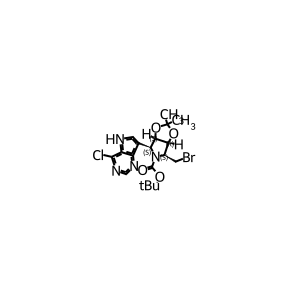 CC(C)(C)OC(=O)N1[C@H](CBr)[C@H]2OC(C)(C)O[C@H]2[C@@H]1c1c[nH]c2c(Cl)ncnc12